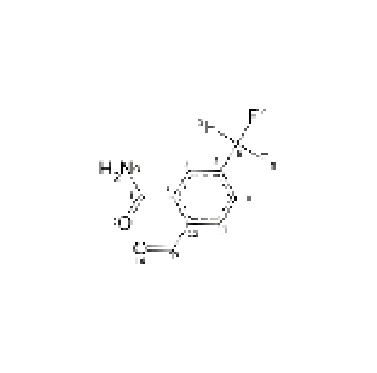 NC(=O)c1cc(C(F)(F)F)ccc1C=O